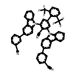 N#Cc1cccc(-c2ccc3c(c2)c2ccccc2n3-c2cc(-c3c(C(F)(F)F)cccc3C(F)(F)F)cc(-n3c4ccccc4c4cc(-c5cccc(C#N)c5)ccc43)c2C#N)c1